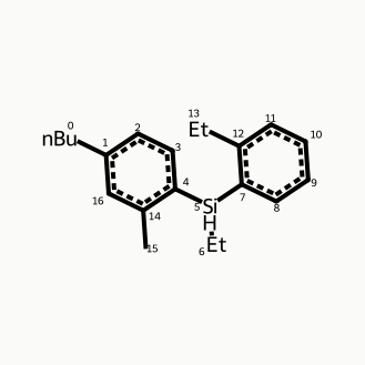 CCCCc1ccc([SiH](CC)c2ccccc2CC)c(C)c1